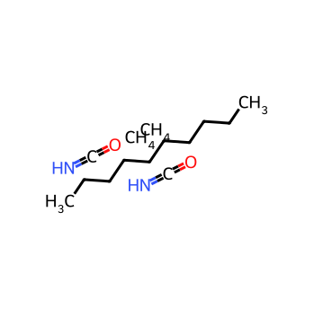 C.C.CCCCCCCCCC.N=C=O.N=C=O